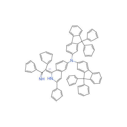 N=C(/C(=C1\NC(c2ccccc2)=Cc2cc(N(c3ccc4c(c3)C(c3ccccc3)(c3ccccc3)c3ccccc3-4)c3ccc4c(c3)C(c3ccccc3)(c3ccccc3)c3ccccc3-4)ccc21)c1ccccc1)c1ccccc1